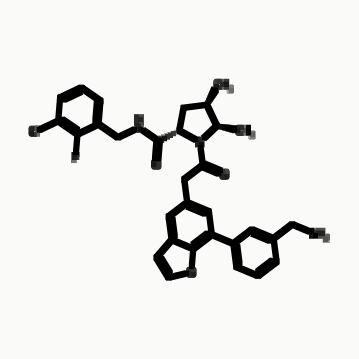 C[C@@H]1C[C@@H](C(=O)NCc2cccc(Cl)c2F)N(C(=O)Cc2cc(-c3cccc(CN)c3)c3occc3c2)[C@@H]1C